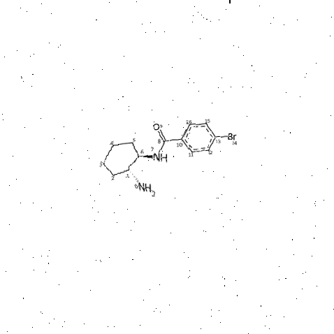 N[C@@H]1CCCC[C@H]1NC(=O)c1ccc(Br)cc1